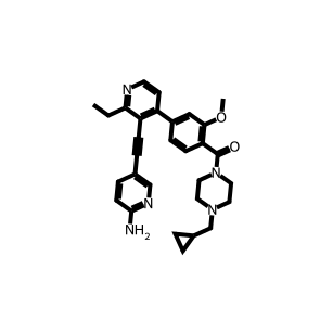 CCc1nccc(-c2ccc(C(=O)N3CCN(CC4CC4)CC3)c(OC)c2)c1C#Cc1ccc(N)nc1